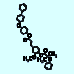 COc1cc(C=CC(=O)OC2CCC(Oc3ccc(-c4ccccc4)cc3)CC2)ccc1OC(=O)C(C)(C)Oc1ccccc1